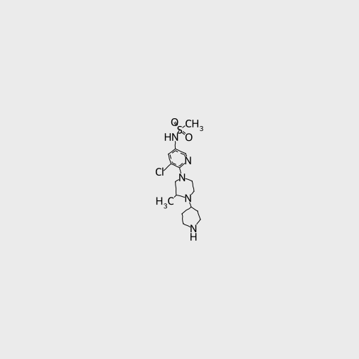 CC1CN(c2ncc(NS(C)(=O)=O)cc2Cl)CCN1C1CCNCC1